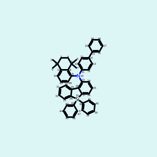 CC1(C)CCC(C)(C)c2c(N(c3ccc(-c4ccccc4)cc3)c3cccc4c3-c3ccccc3[Si]4(c3ccccc3)c3ccccc3)cccc21